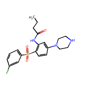 CCCC(=O)Nc1cc(N2CCNCC2)ccc1S(=O)(=O)c1cccc(F)c1